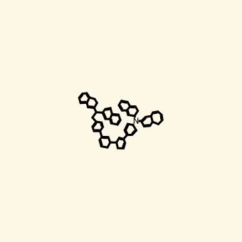 C1=CC(N(C2=CC3C=CC=CCC3C=C2)C2C=c3ccccc3=CC2)C=CC=1C1=CC(C2C=C(c3ccc(CC(C4=Cc5ccccc5CC4)c4ccc5ccccc5c4)cc3)C=CC2)CC=C1